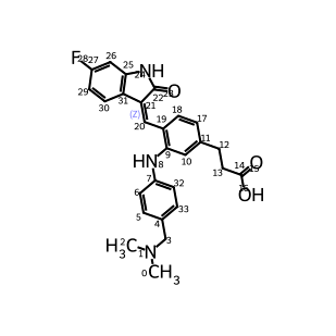 CN(C)Cc1ccc(Nc2cc(CCC(=O)O)ccc2/C=C2\C(=O)Nc3cc(F)ccc32)cc1